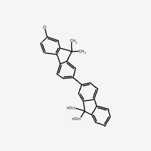 CCCCCCCCC1(CCCCCCCC)c2ccccc2-c2ccc(-c3ccc4c(c3)C(C)(C)c3cc(Cl)ccc3-4)cc21